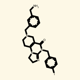 NCc1cccc(CN2CCC3=C(C2)C(=O)N(Cc2ccc(I)cc2)C2=NCCN23)c1